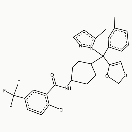 Cc1cccc(C(C2=COCO2)(C2CCC(NC(=O)c3cc(C(F)(F)F)ccc3Cl)CC2)n2nccc2C)c1